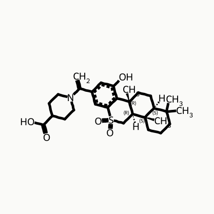 C=C(c1cc(O)c2c(c1)S(=O)(=O)C[C@@H]1[C@@]3(C)CCCC(C)(C)[C@@H]3CC[C@@]21C)N1CCC(C(=O)O)CC1